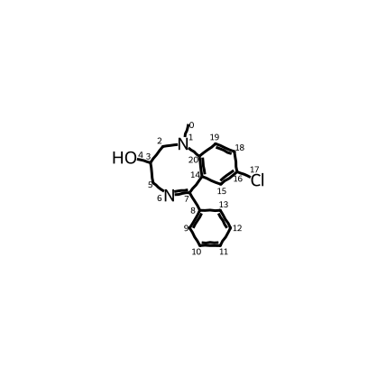 CN1CC(O)CN=C(c2ccccc2)c2cc(Cl)ccc21